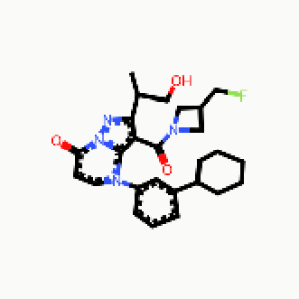 CC(CO)c1nn2c(=O)ccn(-c3cccc(C4CCCCC4)c3)c2c1C(=O)N1CC(CF)C1